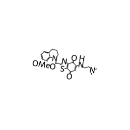 COc1cccc2c1N(C(=O)c1nc3c(s1)C(=O)C=C(NCCN(C)C)C3=O)CCC2